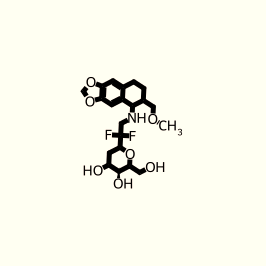 COCC1CCc2cc3c(cc2C1NCC(F)(F)C1CC(O)[C@H](O)C(CO)O1)OCO3